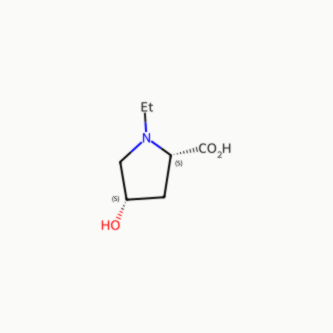 CCN1C[C@@H](O)C[C@H]1C(=O)O